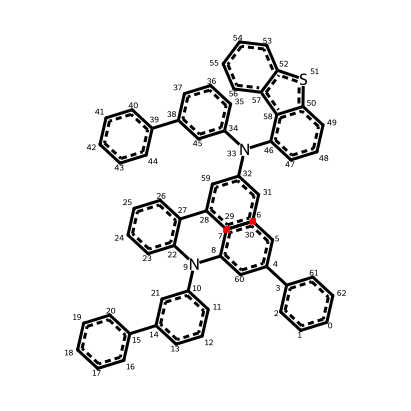 c1ccc(-c2cccc(N(c3cccc(-c4ccccc4)c3)c3ccccc3-c3cccc(N(c4cccc(-c5ccccc5)c4)c4cccc5sc6ccccc6c45)c3)c2)cc1